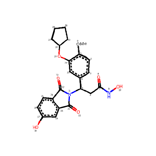 COc1ccc(C(CC(=O)NO)N2C(=O)c3ccc(O)cc3C2=O)cc1OC1CCCC1